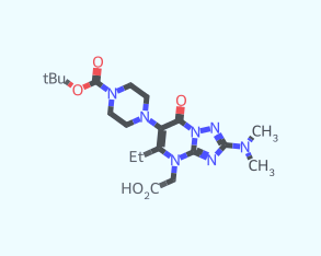 CCc1c(N2CCN(C(=O)OC(C)(C)C)CC2)c(=O)n2nc(N(C)C)nc2n1CC(=O)O